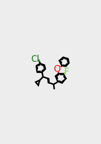 CC(/C=C/C(c1ccc(Cl)cc1)C1CC1)c1ccc(F)c(Oc2ccccc2)c1